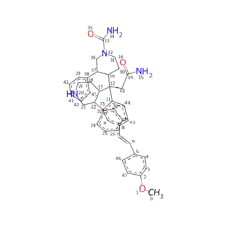 COc1ccc(C=Cc2ccc(C(CC(N)=O)(C3CCNCC3c3ccccc3)C3CCN(C(N)=O)CC3c3ccccc3)cc2)cc1